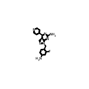 Nc1ccc(Cn2ncc3c(-c4ccncc4)nc(N)nc32)c(F)c1